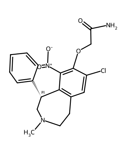 CN1CCc2cc(Cl)c(OCC(N)=O)c([N+](=O)[O-])c2[C@@H](c2ccccc2)C1